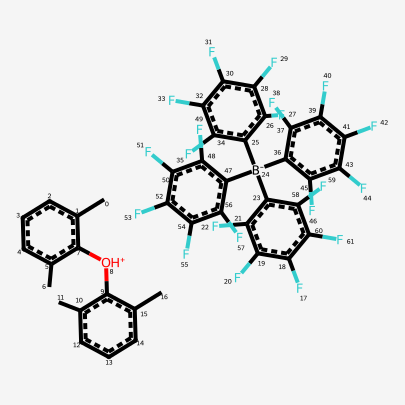 Cc1cccc(C)c1[OH+]c1c(C)cccc1C.Fc1c(F)c(F)c([B-](c2c(F)c(F)c(F)c(F)c2F)(c2c(F)c(F)c(F)c(F)c2F)c2c(F)c(F)c(F)c(F)c2F)c(F)c1F